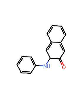 O=C1C=c2ccccc2=CC1Nc1ccccc1